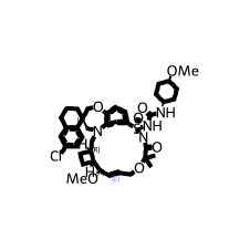 CO[C@H]1/C=C/COC(C)(C)C(=O)N=S(=O)(NC(=O)N[C@H]2CC[C@H](OC)CC2)c2ccc3c(c2)N(C[C@@H]2CC[C@H]21)C[C@@]1(CCCc2cc(Cl)ccc21)CO3